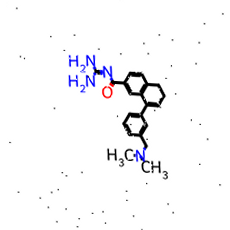 CN(C)Cc1cccc(C2=CCCc3ccc(C(=O)N=C(N)N)cc32)c1